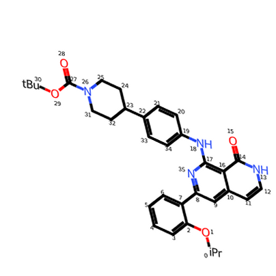 CC(C)Oc1ccccc1-c1cc2cc[nH]c(=O)c2c(Nc2ccc(C3CCN(C(=O)OC(C)(C)C)CC3)cc2)n1